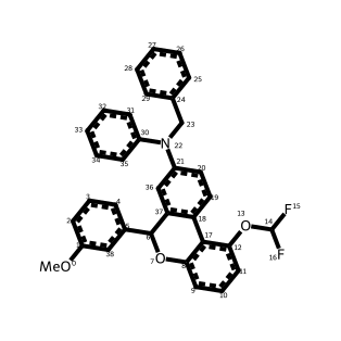 COc1cccc(C2Oc3cccc(OC(F)F)c3-c3ccc(N(Cc4ccccc4)c4ccccc4)cc32)c1